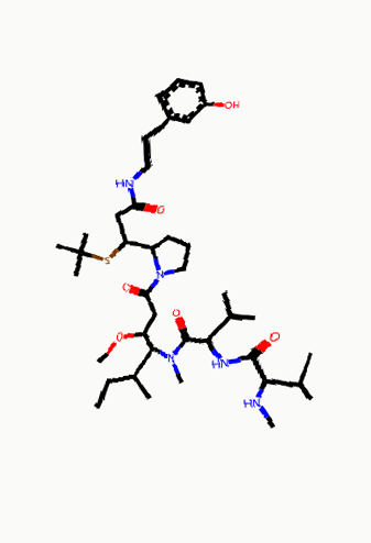 CCC(C)C(C(CC(=O)N1CCCC1C(CC(=O)NCCc1cccc(O)c1)SC(C)(C)C)OC)N(C)C(=O)C(NC(=O)C(NC)C(C)C)C(C)C